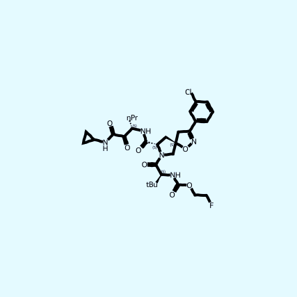 CCC[C@H](NC(=O)[C@@H]1C[C@]2(CC(c3cccc(Cl)c3)=NO2)CN1C(=O)[C@@H](NC(=O)OCCF)C(C)(C)C)C(=O)C(=O)NC1CC1